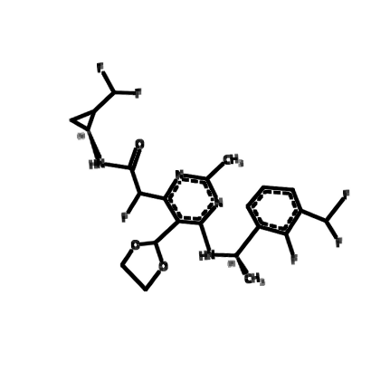 Cc1nc(N[C@H](C)c2cccc(C(F)F)c2F)c(C2OCCO2)c(C(F)C(=O)N[C@H]2CC2C(F)F)n1